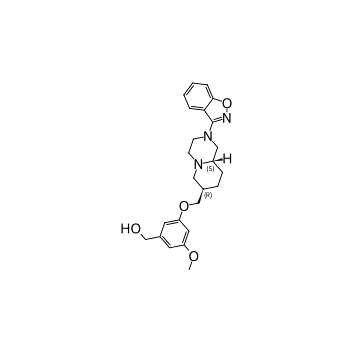 COc1cc(CO)cc(OC[C@@H]2CC[C@H]3CN(c4noc5ccccc45)CCN3C2)c1